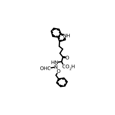 O=CN(NC(C(=O)O)C(=O)CCCc1c[nH]c2ccccc12)OCc1ccccc1